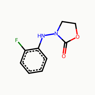 O=C1OCCN1Nc1ccccc1F